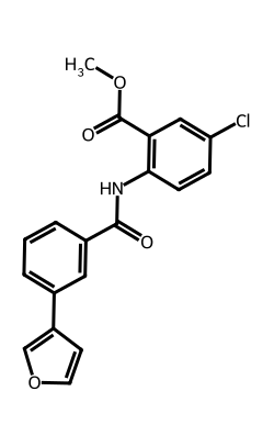 COC(=O)c1cc(Cl)ccc1NC(=O)c1cccc(-c2ccoc2)c1